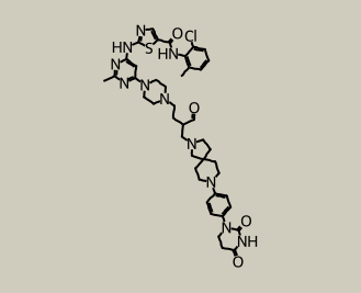 Cc1nc(Nc2ncc(C(=O)Nc3c(C)cccc3Cl)s2)cc(N2CCN(CCC(C=O)CN3CCC4(CCN(c5ccc(N6CCC(=O)NC6=O)cc5)CC4)C3)CC2)n1